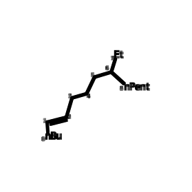 [CH2]CCCC=CCCCC(CC)CCCC[CH2]